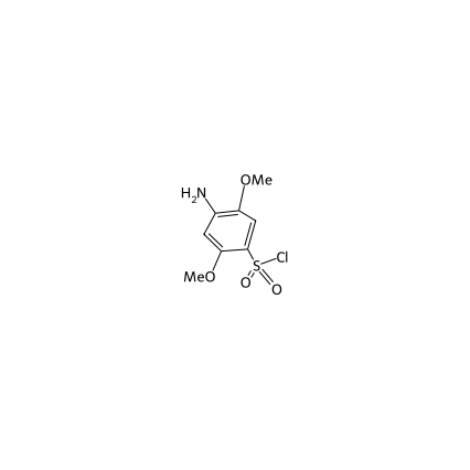 COc1cc(S(=O)(=O)Cl)c(OC)cc1N